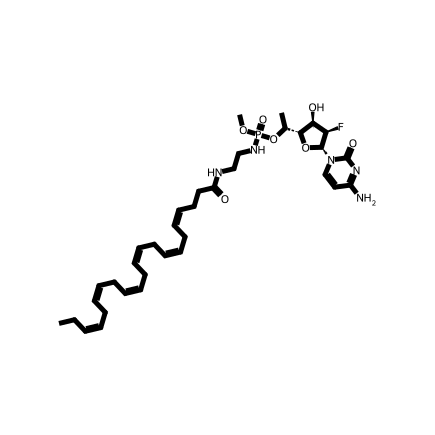 CC/C=C\C/C=C\C/C=C\C/C=C\C/C=C\C/C=C\CCC(=O)NCCNP(=O)(OC)OC(C)[C@H]1O[C@@H](n2ccc(N)nc2=O)[C@H](F)[C@@H]1O